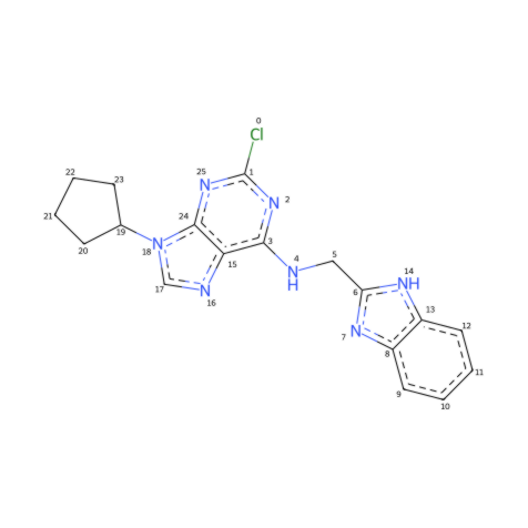 Clc1nc(NCc2nc3ccccc3[nH]2)c2ncn(C3CCCC3)c2n1